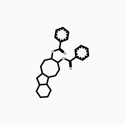 O=C(OC1CCC2CC3CCCCC3C2CCC1OC(=O)c1ccccc1)c1ccccc1